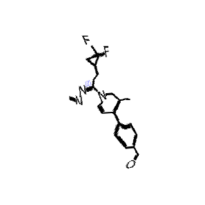 C=N/N=C(/CC1CC1(F)F)N1C=CC(c2ccc(C=O)cc2)=C(C)C1